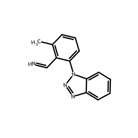 Cc1cccc(-n2nnc3ccccc32)c1C=N